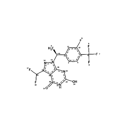 C[C@@H](c1ccc(C(F)(F)F)c(F)c1)n1nc(C(F)F)c2c(=O)[nH]c(O)nc21